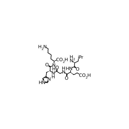 CC(C)C[C@H](N)C(=O)N[C@@H](CCC(=O)O)C(=O)NCC(=O)N[C@@H](Cc1c[nH]cn1)C(=O)N[C@@H](CCCCN)C(=O)O